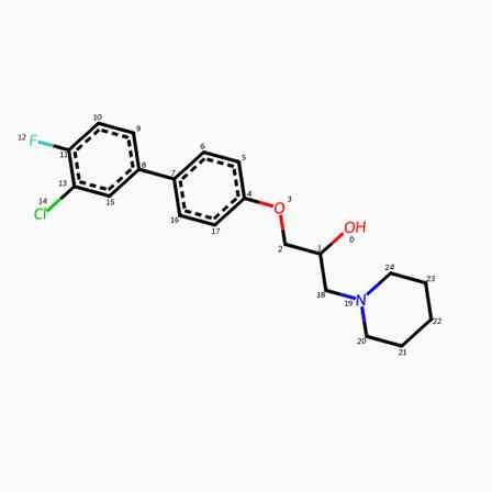 OC(COc1ccc(-c2ccc(F)c(Cl)c2)cc1)CN1CCCCC1